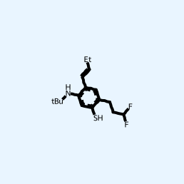 CC/C=C/c1cc(CCC(F)F)c(S)cc1NC(C)(C)C